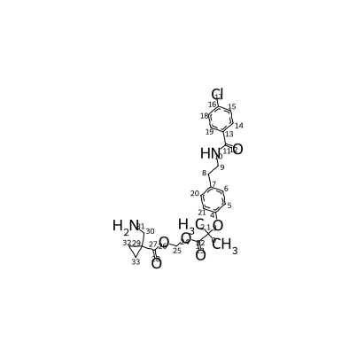 CC(C)(Oc1ccc(CCNC(=O)c2ccc(Cl)cc2)cc1)C(=O)OCOC(=O)C1(CN)CC1